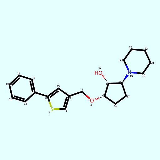 O[C@H]1[C@@H](OCc2csc(-c3ccccc3)c2)CC[C@@H]1N1CCCCC1